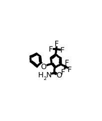 NC(=O)c1c(Oc2ccccc2)cc(C(F)(F)F)cc1C(F)(F)F